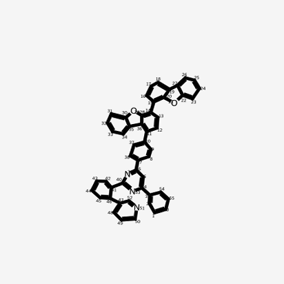 c1ccc(-c2cc(-c3ccc(-c4ccc(-c5cccc6c5oc5ccccc56)c5oc6ccccc6c45)cc3)nc(-c3ccccc3-c3cccnc3)n2)cc1